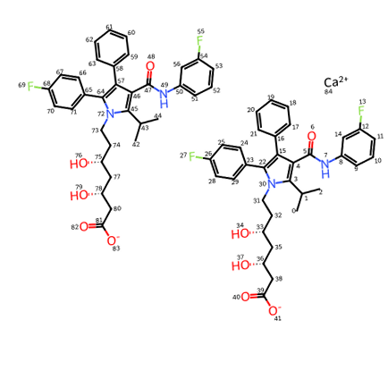 CC(C)c1c(C(=O)Nc2cccc(F)c2)c(-c2ccccc2)c(-c2ccc(F)cc2)n1CC[C@@H](O)C[C@@H](O)CC(=O)[O-].CC(C)c1c(C(=O)Nc2cccc(F)c2)c(-c2ccccc2)c(-c2ccc(F)cc2)n1CC[C@@H](O)C[C@@H](O)CC(=O)[O-].[Ca+2]